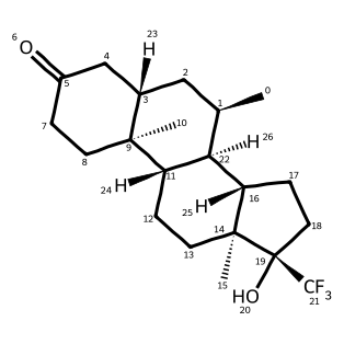 C[C@@H]1C[C@H]2CC(=O)CC[C@]2(C)[C@H]2CC[C@@]3(C)[C@@H](CC[C@@]3(O)C(F)(F)F)[C@H]12